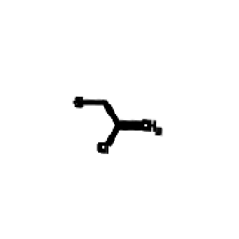 C=C(Cl)C[S]